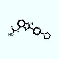 O=C(O)Oc1cccc2[nH]c(-c3ccc(N4CCCC4)nc3)nc12